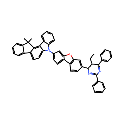 CCC1C(c2ccccc2)=NC(c2ccccc2)=NC1c1ccc2c(c1)oc1cc(-n3c4ccccc4c4c5c(ccc43)-c3ccccc3C5(C)C)ccc12